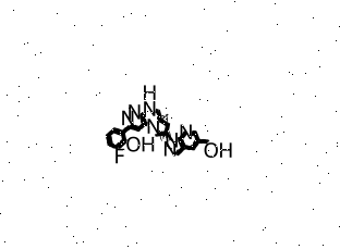 C[C@@]12CNc3nnc(-c4cccc(F)c4O)cc3N1C[C@H](n1ncc3cc(CO)cnc31)C2